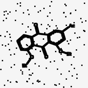 CCOc1cccc2c1C(=O)c1c(OCC)cc(C(C)=O)cc1C2=O